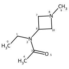 CCN(C(C)=O)C1CN(C)C1